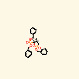 CC1(P(=O)(OCc2ccccc2)OCc2ccccc2)CCP(=O)(OCc2ccccc2)O1